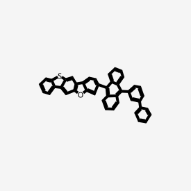 c1ccc(-c2cccc(-c3c4ccccc4c(-c4ccc5c(c4)oc4cc6c(cc45)sc4ccccc46)c4ccccc34)c2)cc1